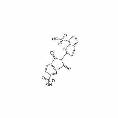 O=C1c2ccc(S(=O)(=O)O)cc2C(=O)C1c1ccc2cccc(S(=O)(=O)O)c2n1